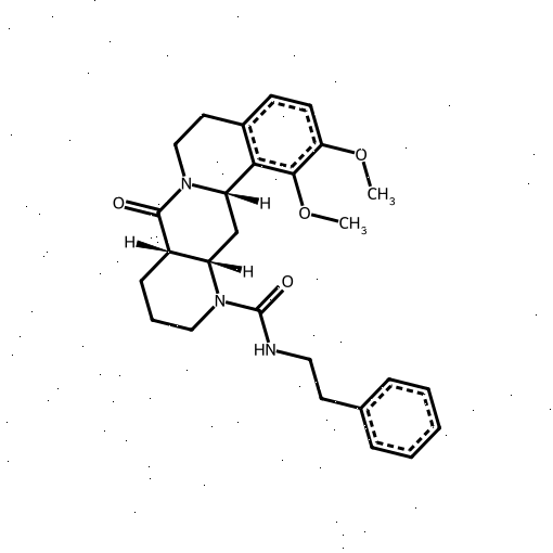 COc1ccc2c(c1OC)[C@@H]1C[C@H]3[C@H](CCCN3C(=O)NCCc3ccccc3)C(=O)N1CC2